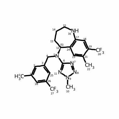 Cc1cc(CN(c2nnn(C)n2)[C@H]2CCCNc3cc(C(F)(F)F)c(C)cc32)cc(C(F)(F)F)c1